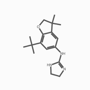 CC(C)(C)c1cc(NC2=NCCN2)cc2c1OCC2(C)C